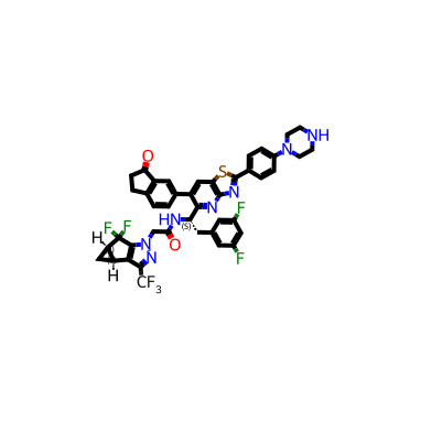 O=C(Cn1nc(C(F)(F)F)c2c1C(F)(F)[C@@H]1C[C@H]21)N[C@@H](Cc1cc(F)cc(F)c1)c1nc2nc(-c3ccc(N4CCNCC4)cc3)sc2cc1-c1ccc2c(c1)C(=O)CC2